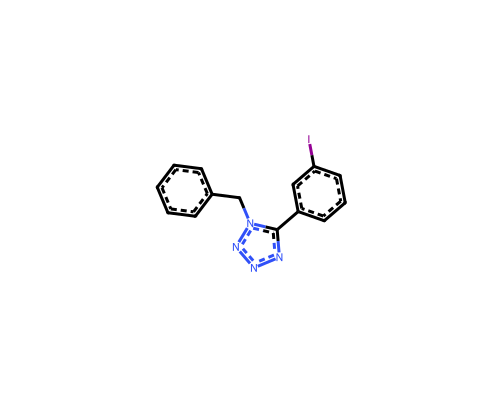 Ic1cccc(-c2nnnn2Cc2ccccc2)c1